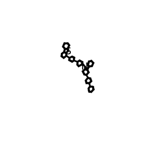 c1ccc(-c2ccc(-c3ccc4c(c3)c3ccccc3n4-c3ccc(-c4ccc(-c5cccc6c5sc5ccccc56)cc4)cc3)cc2)cc1